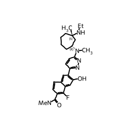 CCN[C@@]1(C)CCCC[C@@H](N(C)c2ccc(-c3cc4ccc(C(=O)NC)c(F)c4cc3O)nn2)C1